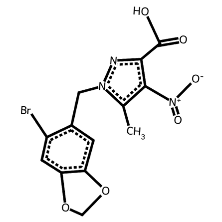 Cc1c([N+](=O)[O-])c(C(=O)O)nn1Cc1cc2c(cc1Br)OCO2